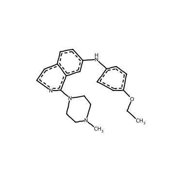 CCOc1ccc(Nc2ccc3ccnc(N4CCN(C)CC4)c3c2)cc1